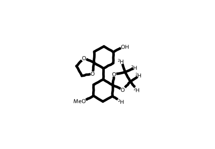 [2H]C1CC(OC)CC(C2CC(O)CCC23OCCO3)C12OC([2H])([2H])C([2H])([2H])O2